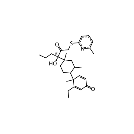 CCC[C@](O)(C(=O)CSc1cccc(C)n1)C1(C)CCC(C2(C)C=CC(=O)C=C2CC)C(C)C1